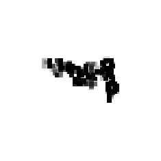 CC(C)(C)[C@H](NC(=O)c1nn(Cc2ccc(F)cc2)c2ccccc12)C(=O)NCC1CN(C(N)=O)C1